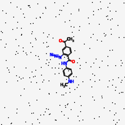 CNc1ccc(NC(=O)c2ccc(C(C)=O)cc2N=[N+]=[N-])cc1